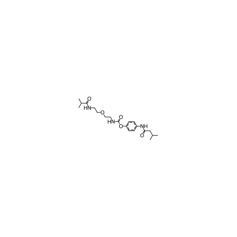 CC(C)CC(=O)Nc1ccc(OC(=O)NCCOCCNC(=O)C(C)C)cc1